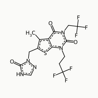 Cc1c(Cn2nc[nH]c2=O)sc2c1c(=O)n(CC(F)(F)F)c(=O)n2CCC(F)(F)F